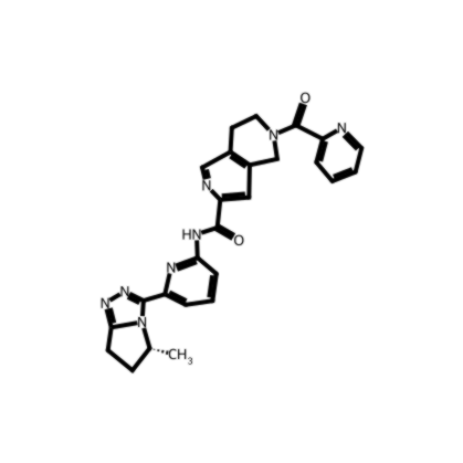 C[C@@H]1CCc2nnc(-c3cccc(NC(=O)c4cc5c(cn4)CCN(C(=O)c4ccccn4)C5)n3)n21